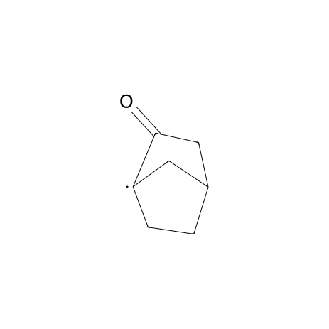 O=C1CC2CC[C]1C2